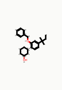 CCC(C)(C)c1ccc([C@H]2CCC[C@H](O)C2)c(OCc2ccccc2)c1